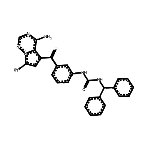 CC(C)c1cc(C(=O)c2cccc(NC(=O)NC(c3ccccc3)c3ccccc3)c2)c2c(N)ncnn12